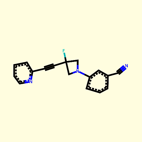 N#Cc1cccc(N2CC(F)(C#Cc3ccccn3)C2)c1